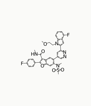 CNC(=O)c1c(-c2ccc(F)cc2)oc2cc(N(C)S(C)(=O)=O)c(-c3cnnc(-c4cc5c(F)cccc5n4CCOC)c3)cc12